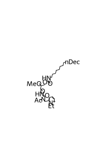 CCCCCCCCCCCCCCCCCCNC(=O)OCC(CONC(=O)N(Cc1cccc[n+]1CC)C(C)=O)OC